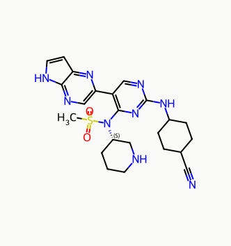 CS(=O)(=O)N(c1nc(NC2CCC(C#N)CC2)ncc1-c1cnc2[nH]ccc2n1)[C@H]1CCCNC1